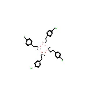 C[Si]1(CCc2ccc(CCl)cc2)O[Si](C)(CCc2ccc(CCl)cc2)O[Si](C)(CCc2ccc(CCl)cc2)O[Si](C)(CCc2ccc(CCl)cc2)O1